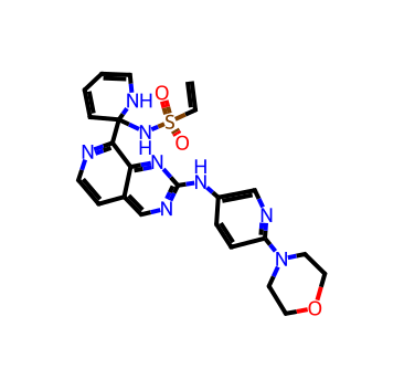 C=CS(=O)(=O)NC1(c2nccc3cnc(Nc4ccc(N5CCOCC5)nc4)nc23)C=CC=CN1